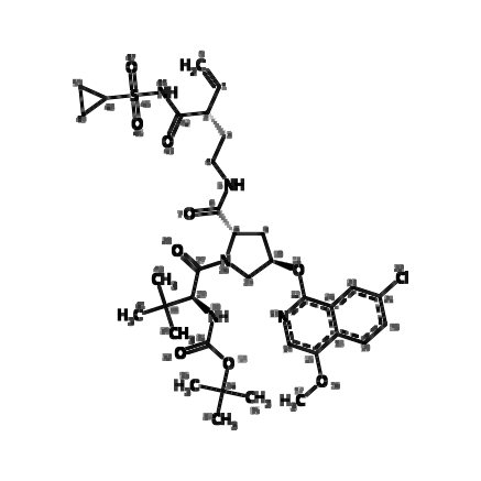 C=C[C@H](CCNC(=O)[C@@H]1C[C@@H](Oc2ncc(OC)c3ccc(Cl)cc23)CN1C(=O)[C@@H](NC(=O)OC(C)(C)C)C(C)(C)C)C(=O)NS(=O)(=O)C1CC1